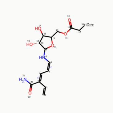 C=C/C(=C\C=C/NC1OC(COC(=O)CCCCCCCCCCC)C(O)[C@H]1O)C(N)=O